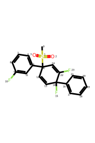 CS(=O)(=O)C1(c2cccc(F)c2)C=CC(F)(c2ccccc2)C(F)=C1